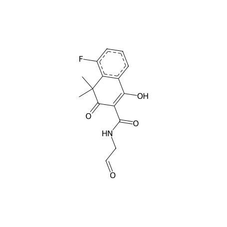 CC1(C)C(=O)C(C(=O)NCC=O)=C(O)c2cccc(F)c21